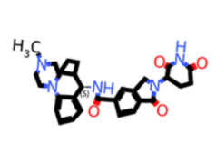 CN1CCN(c2ccccc2[C@@H](NC(=O)c2ccc3c(c2)CN(C2CCC(=O)NC2=O)C3=O)C2CCC2)CC1